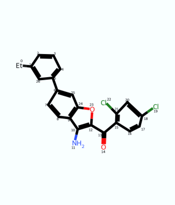 CCc1cccc(-c2ccc3c(N)c(C(=O)c4ccc(Cl)cc4Cl)oc3c2)c1